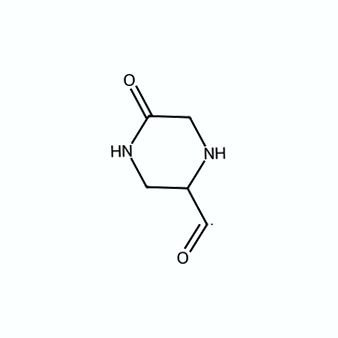 O=[C]C1CNC(=O)CN1